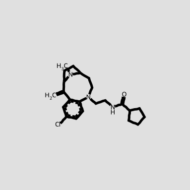 C=C1c2cc(Cl)ccc2N(CCNC(=O)C2CCCC2)CCC2CCC1N2C